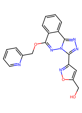 OCc1cc(-c2nnc3c4ccccc4c(OCc4ccccn4)nn23)no1